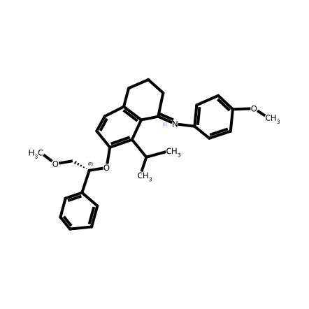 COC[C@H](Oc1ccc2c(c1C(C)C)/C(=N/c1ccc(OC)cc1)CCC2)c1ccccc1